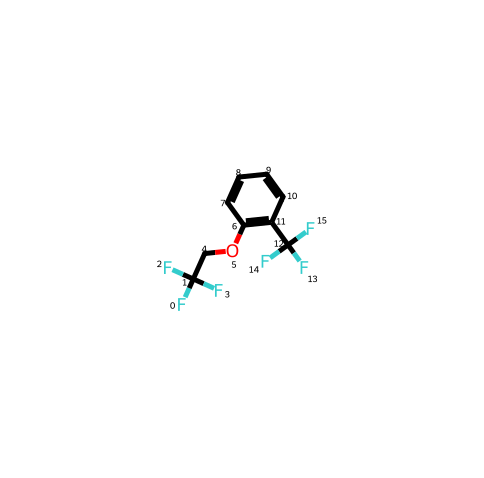 FC(F)(F)COc1ccc[c]c1C(F)(F)F